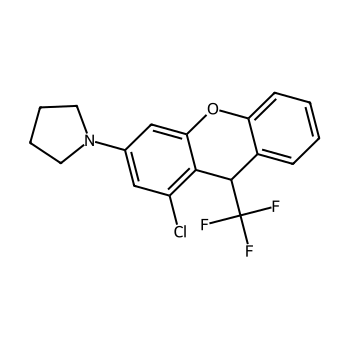 FC(F)(F)C1c2ccccc2Oc2cc(N3CCCC3)cc(Cl)c21